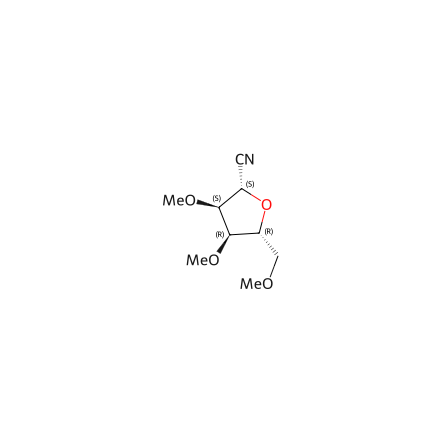 COC[C@H]1O[C@@H](C#N)[C@H](OC)[C@@H]1OC